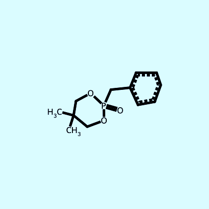 CC1(C)COP(=O)(Cc2ccccc2)OC1